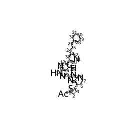 CC(=O)c1ccc(-c2ccnc3[nH]c(-c4n[nH]c5ncc(-c6cncc(CCCc7ccccc7)c6)c(F)c45)nc23)s1